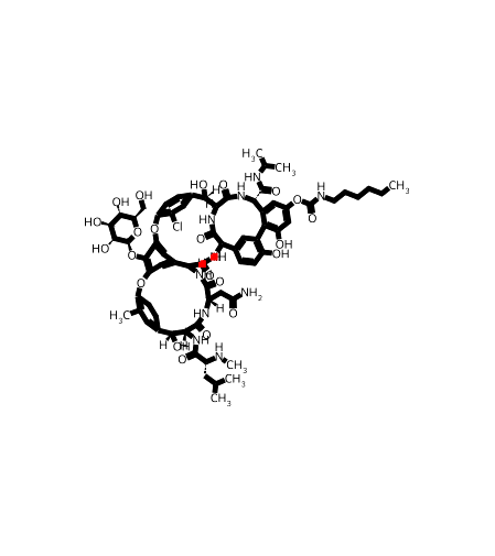 CCCCCCNC(=O)Oc1cc(O)c2c(c1)[C@@H](C(=O)NC(C)C)NC(=O)[C@H]1NC(=O)[C@H](NC(=O)[C@@H]3NC(=O)[C@H](CC(N)=O)NC(=O)[C@H](NC(=O)[C@@H](CC(C)C)NC)[C@H](O)C4=CC(C)=C(CC4)Oc4cc3cc(c4O[C@@H]3O[C@H](CO)[C@@H](O)[C@H](O)[C@H]3O)Oc3ccc(cc3Cl)[C@H]1O)c1ccc(O)c-2c1